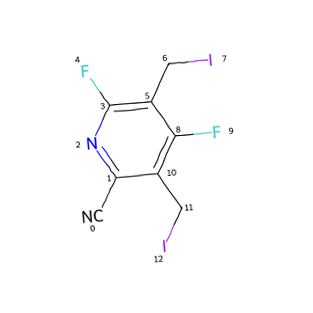 N#Cc1nc(F)c(CI)c(F)c1CI